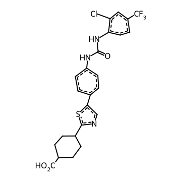 O=C(Nc1ccc(-c2cnc(C3CCC(C(=O)O)CC3)s2)cc1)Nc1ccc(C(F)(F)F)cc1Cl